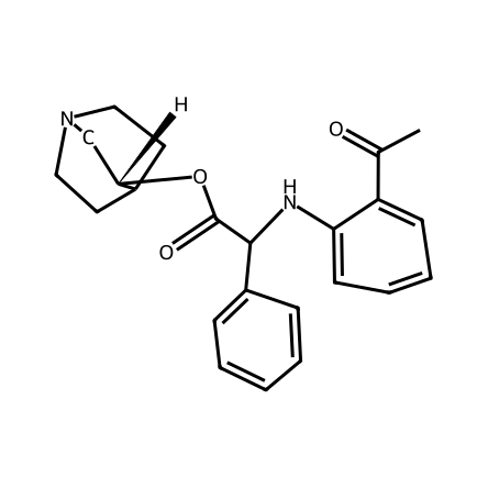 CC(=O)c1ccccc1NC(C(=O)O[C@H]1CN2CCC1CC2)c1ccccc1